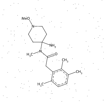 CON1CCC(N)(N(C)C(=O)Cc2c(C)ccc(C)c2C)CC1